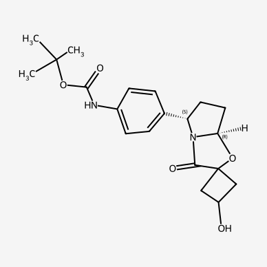 CC(C)(C)OC(=O)Nc1ccc([C@@H]2CC[C@H]3OC4(CC(O)C4)C(=O)N32)cc1